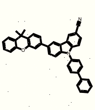 CC1(C)c2ccccc2Oc2cc(-c3ccc4c(c3)c3cc(C#N)ccc3n4-c3ccc(-c4ccccc4)cc3)ccc21